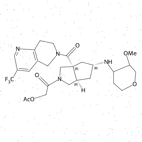 COC1COCCC1N[C@@H]1C[C@H]2CN(C(=O)COC(C)=O)C[C@@]2(C(=O)N2CCc3ncc(C(F)(F)F)cc3C2)C1